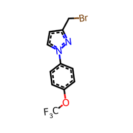 FC(F)(F)Oc1ccc(-n2ccc(CBr)n2)cc1